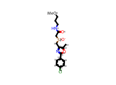 COCCCNC(=O)C[S+]([O-])Cc1nc(-c2ccc(Cl)cc2)oc1C